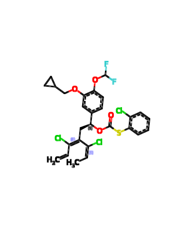 C=C/C(Cl)=C(C[C@H](OC(=O)Sc1ccccc1Cl)c1ccc(OC(F)F)c(OCC2CC2)c1)\C(Cl)=C/C